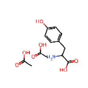 CC(=O)O.CC(=O)O.NC(Cc1ccc(O)cc1)C(=O)O